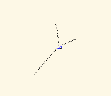 CCCCCCCCCCCCCCCCCC[n+]1ccn(CCCCCCCC)c1CCCCCCCCCCCCC